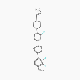 C/C=C/C1CCC(c2ccc(-c3ccc(-c4ccc(OC)c(F)c4F)cc3)cc2F)CC1